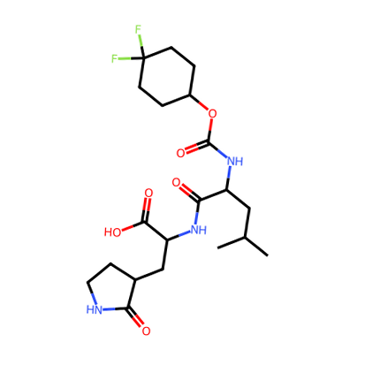 CC(C)CC(NC(=O)OC1CCC(F)(F)CC1)C(=O)NC(CC1CCNC1=O)C(=O)O